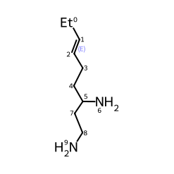 CC/C=C/CCC(N)CCN